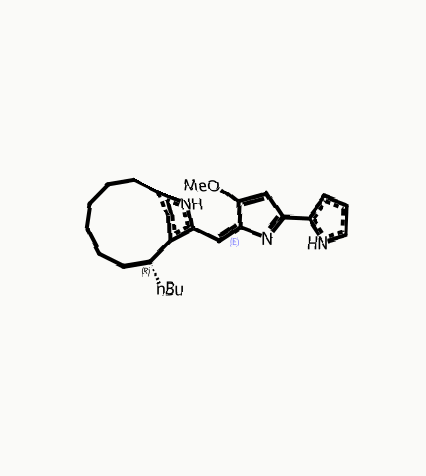 CCCC[C@@H]1CCCCCCc2cc1c(/C=C1/N=C(c3ccc[nH]3)C=C1OC)[nH]2